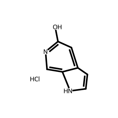 Cl.Oc1cc2cc[nH]c2cn1